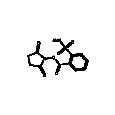 CNS(=O)(=O)c1ccccc1C(=O)ON1C(=O)CCC1=O